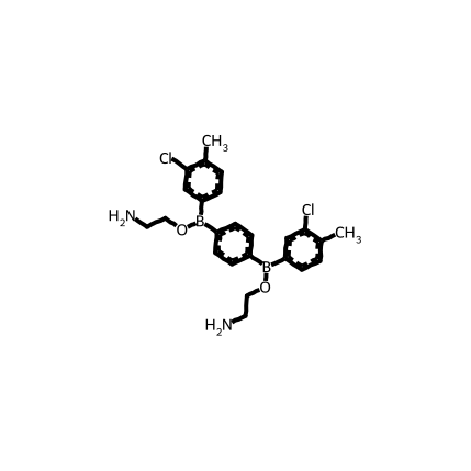 Cc1ccc(B(OCCN)c2ccc(B(OCCN)c3ccc(C)c(Cl)c3)cc2)cc1Cl